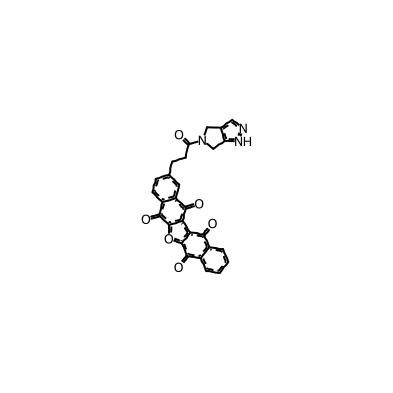 O=C(CCc1ccc2c(=O)c3oc4c(=O)c5ccccc5c(=O)c4c3c(=O)c2c1)N1Cc2cn[nH]c2C1